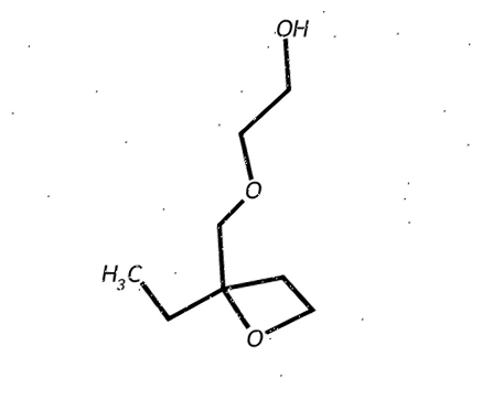 CCC1(COCCO)CCO1